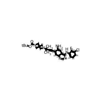 CC(C)(C)OC(=O)N1CC2(C1)CN(C(C)(C)C#Cc1cc3ncnc(Nc4cccc(Cl)c4F)c3cc1N)C2